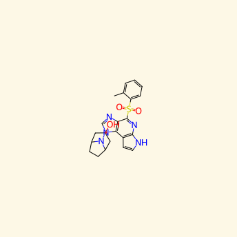 Cc1ccccc1S(=O)(=O)c1nc2[nH]ccc2c2c1ncn2N1C2CCC1CC(O)C2